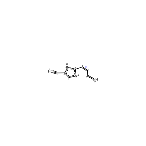 C#Cc1cnc(/C=C\C=N)[nH]1